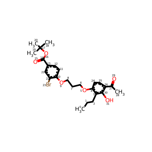 CCCc1c(OCCCOc2ccc(C(=O)OC(C)(C)C)cc2Br)ccc(C(C)=O)c1O